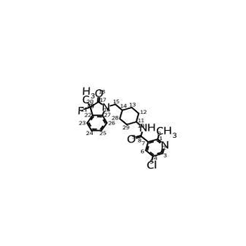 Cc1ncc(Cl)cc1C(=O)NC1CCC(CN2C(=O)[C@](C)(F)c3ccccc32)CC1